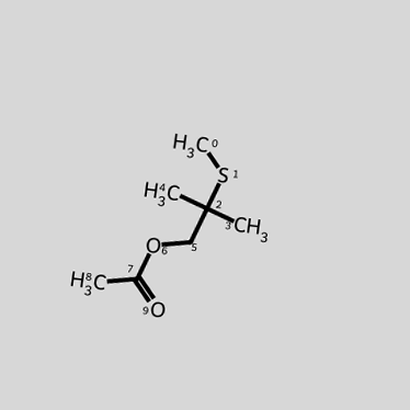 CSC(C)(C)COC(C)=O